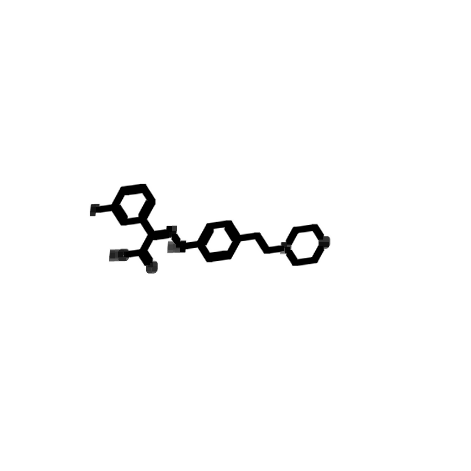 O=C(O)/C(=N\Nc1ccc(CCN2CCOCC2)cc1)c1cccc(F)c1